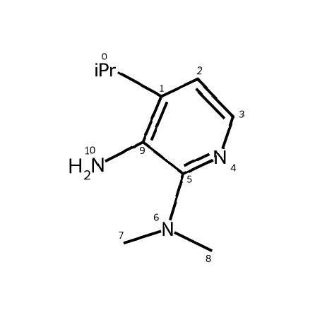 CC(C)c1ccnc(N(C)C)c1N